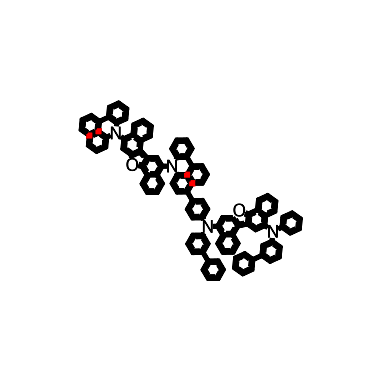 c1ccc(-c2cccc(N(c3ccccc3)c3cc4c(oc5cc(N(c6ccc(-c7ccc(N(c8ccccc8-c8ccccc8)c8cc9c(oc%10cc(N(c%11ccccc%11)c%11ccccc%11-c%11ccccc%11)c%11ccccc%11c%109)c9ccccc89)cc7)cc6)c6cccc(-c7ccccc7)c6)c6ccccc6c54)c4ccccc34)c2)cc1